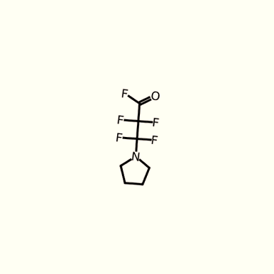 O=C(F)C(F)(F)C(F)(F)N1CCCC1